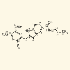 COc1cc(Cc2nc3cc(C(=O)NCCC(F)(F)F)ccc3[nH]2)c(F)cc1C(C)(C)C